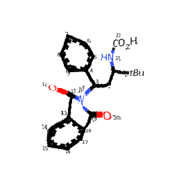 CC(C)(C)C(CC(c1ccccc1)N1C(=O)c2ccccc2C1=O)NC(=O)O